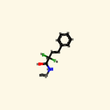 CCCCCNC(=O)C(F)(F)C=Cc1ccccc1